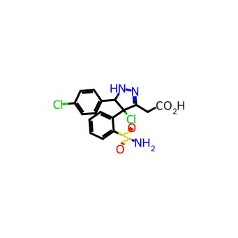 NS(=O)(=O)c1ccccc1C1(Cl)C(CC(=O)O)=NNC1c1ccc(Cl)cc1